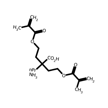 C=C(C)C(=O)OCCC(CCC)(CCOC(=O)C(=C)C)C(=O)O.N